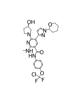 CNc1nc(N2CC[C@@H](O)C2)c(-c2ccn(C3CCCCO3)n2)cc1C(=O)Nc1ccc(OC(F)(F)Cl)cc1